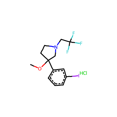 COC1(c2cccc(I)c2)CCN(CC(F)(F)F)C1.Cl